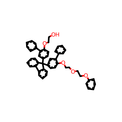 OCCOc1ccc(C2(c3ccc(OCCOCCOc4ccccc4)c(-c4ccccc4)c3)c3ccccc3-c3ccccc32)cc1-c1ccccc1